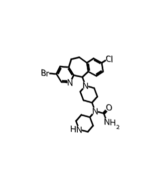 NC(=O)N(C1CCNCC1)C1CCN(C2c3ccc(Cl)cc3CCc3cc(Br)cnc32)CC1